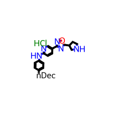 CCCCCCCCCCc1ccc(Nc2ccc(-c3noc(C4CCNC4)n3)cn2)cc1.Cl